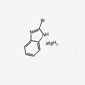 Brc1nc2ccccc2[nH]1.[MgH2]